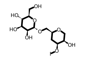 OC[C@H]1O[C@H](OC[C@@H]2C[C@H](OI)[C@H](O)CO2)[C@@H](O)[C@@H](O)[C@@H]1O